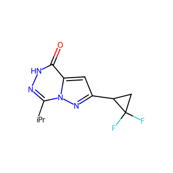 CC(C)c1n[nH]c(=O)c2cc(C3CC3(F)F)nn12